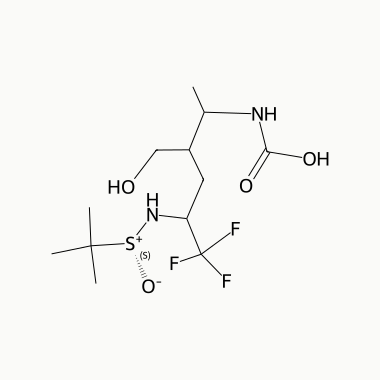 CC(NC(=O)O)C(CO)CC(N[S@+]([O-])C(C)(C)C)C(F)(F)F